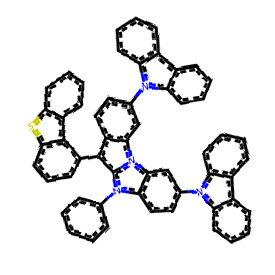 c1ccc(-n2c3ccc(-n4c5ccccc5c5ccccc54)cc3n3c4cc(-n5c6ccccc6c6ccccc65)ccc4c(-c4cccc5sc6ccccc6c45)c23)cc1